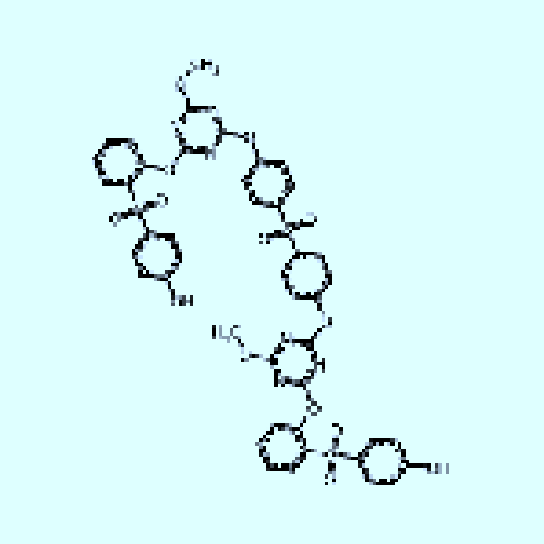 COc1nc(Oc2ccc(S(=O)(=O)c3ccc(Oc4nc(OC)nc(Oc5ccccc5S(=O)(=O)c5ccc(O)cc5)n4)cc3)cc2)nc(Oc2ccccc2S(=O)(=O)c2ccc(O)cc2)n1